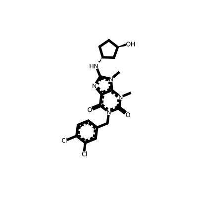 Cn1c(N[C@@H]2CC[C@@H](O)C2)nc2c(=O)n(Cc3ccc(Cl)c(Cl)c3)c(=O)n(C)c21